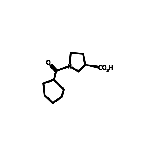 O=C(O)[C@@H]1CCN(C(=O)C2CCCCC2)C1